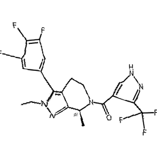 C[C@H]1c2nn(C)c(-c3cc(F)c(F)c(F)c3)c2CCN1C(=O)c1c[nH]nc1C(F)(F)F